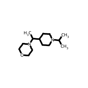 CC(C)N1CCC(C(C)N2CCOCC2)CC1